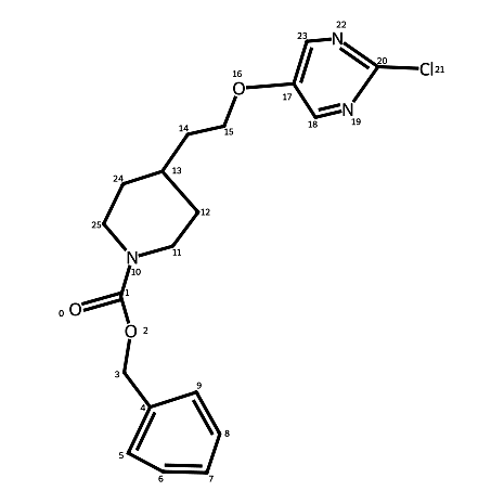 O=C(OCc1ccccc1)N1CCC(CCOc2cnc(Cl)nc2)CC1